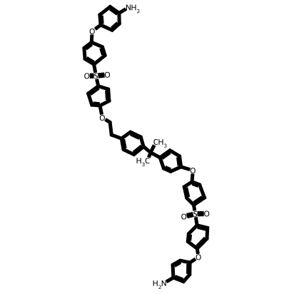 CC(C)(c1ccc(CCOc2ccc(S(=O)(=O)c3ccc(Oc4ccc(N)cc4)cc3)cc2)cc1)c1ccc(Oc2ccc(S(=O)(=O)c3ccc(Oc4ccc(N)cc4)cc3)cc2)cc1